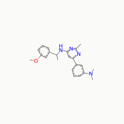 COc1cccc(C(C)Nc2cc(-c3cccc(N(C)C)c3)nc(C)n2)c1